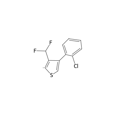 FC(F)c1[c]scc1-c1ccccc1Cl